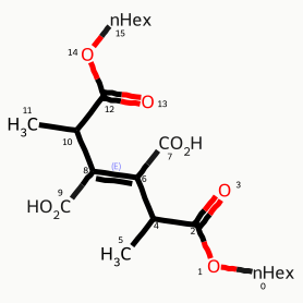 CCCCCCOC(=O)C(C)/C(C(=O)O)=C(\C(=O)O)C(C)C(=O)OCCCCCC